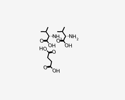 CC(C)[C@H](N)C(=O)O.CC(C)[C@H](N)C(=O)O.O=C(O)CCC(=O)O